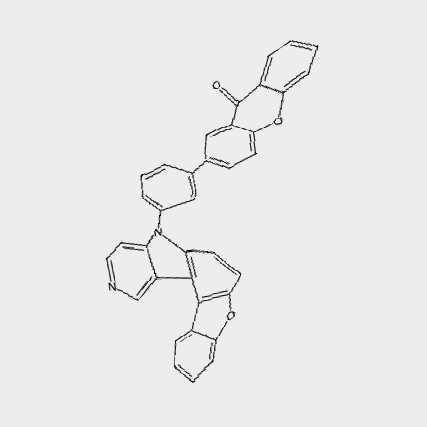 O=c1c2ccccc2oc2ccc(-c3cccc(-n4c5ccncc5c5c6c(ccc54)oc4ccccc46)c3)cc12